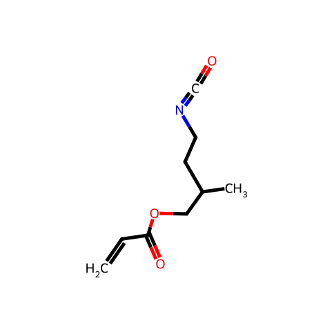 C=CC(=O)OCC(C)CCN=C=O